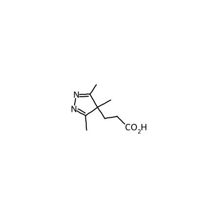 CC1=NN=C(C)C1(C)CCC(=O)O